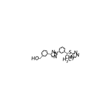 CC(Sc1nncn1C)c1cccc(-n2ncc(-c3cccc(CO)c3)n2)c1